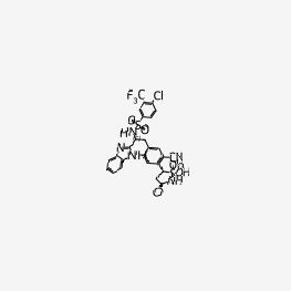 N#Cc1cc(C[C@H](NS(=O)(=O)c2ccc(Cl)c(C(F)(F)F)c2)c2nc3ccccc3[nH]2)ccc1C1CC(=O)NS1(O)O